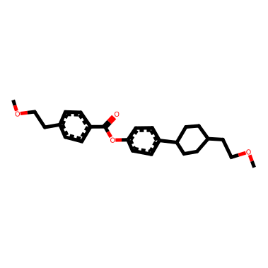 COCCc1ccc(C(=O)Oc2ccc(C3CCC(CCOC)CC3)cc2)cc1